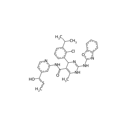 C=S=C(O)c1ccnc(NC(=O)C2=C(C)NC(Nc3nc4ccccc4o3)=NC2c2cccc(C(C)C)c2Cl)c1